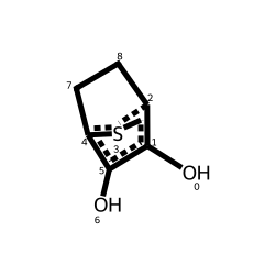 Oc1c2sc(c1O)CC2